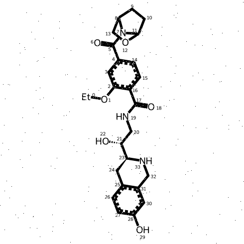 CCOc1cc(C(=O)N2C3CCC2OC3)ccc1C(=O)NC[C@@H](O)[C@@H]1Cc2ccc(O)cc2CN1